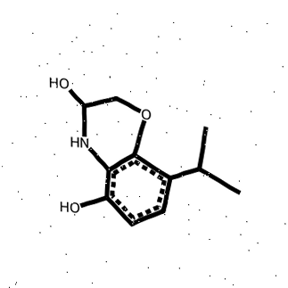 CC(C)c1ccc(O)c2c1OCC(O)N2